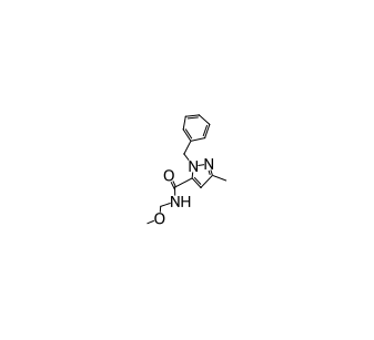 COCNC(=O)c1cc(C)nn1Cc1ccccc1